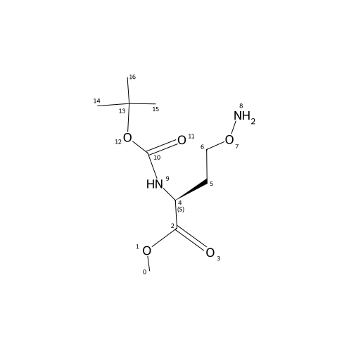 COC(=O)[C@H](CCON)NC(=O)OC(C)(C)C